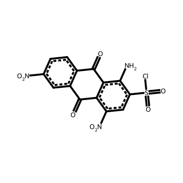 Nc1c(S(=O)(=O)Cl)cc([N+](=O)[O-])c2c1C(=O)c1ccc([N+](=O)[O-])cc1C2=O